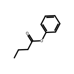 CCCC(=O)Oc1c[c]ccc1